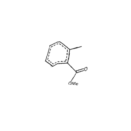 COC(=O)c1[c]cccc1C